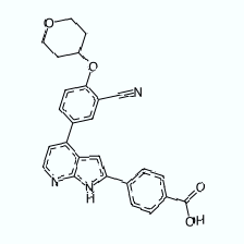 N#Cc1cc(-c2ccnc3[nH]c(-c4ccc(C(=O)O)cc4)cc23)ccc1OC1CCOCC1